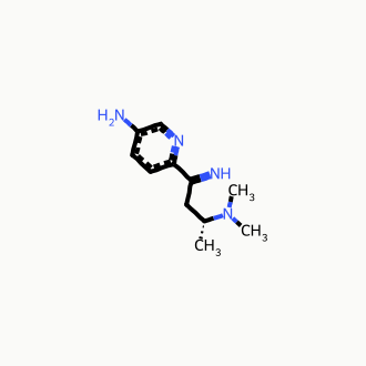 C[C@H](CC(=N)c1ccc(N)cn1)N(C)C